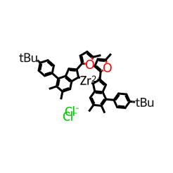 Cc1ccc(C2=Cc3c(cc(C)c(C)c3-c3ccc(C(C)(C)C)cc3)[CH]2[Zr+2][CH]2C(c3ccc(C)o3)=Cc3c2cc(C)c(C)c3-c2ccc(C(C)(C)C)cc2)o1.[Cl-].[Cl-]